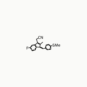 CSc1ccc(C=C2C(C)=C(CC#N)c3cc(F)ccc32)cc1